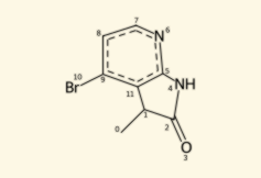 CC1C(=O)Nc2nccc(Br)c21